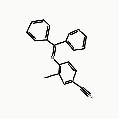 N#Cc1ccc(N=C(c2ccccc2)c2ccccc2)c(I)c1